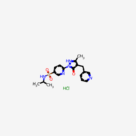 Cc1[nH]n(-c2ccc(S(=O)(=O)NC(C)C)cn2)c(=O)c1Cc1cccnc1.Cl